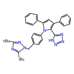 CCCCc1nc(C(C)CC)n(Cc2ccc(-n3c(-c4ccccc4)cc(-c4ccccc4)c3-c3nnn[nH]3)cc2)n1